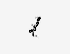 COCCCn1c(C2CCCN(C(=O)C[C@H](N)Cc3ccc(-c4ccc5[nH]ncc5c4)cc3)C2)cc2ccccc21